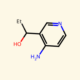 CCC(O)c1cnccc1N